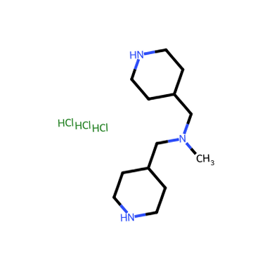 CN(CC1CCNCC1)CC1CCNCC1.Cl.Cl.Cl